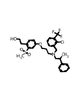 CC(CN(CCCOc1ccc(CCO)c(S(C)(=O)=O)c1)Cc1cccc(C(F)(F)F)c1Cl)c1ccccc1